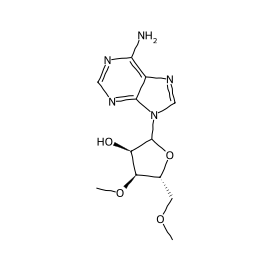 COC[C@H]1OC(n2cnc3c(N)ncnc32)[C@H](O)[C@@H]1OC